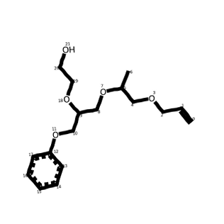 C=CCOCC(C)OCC(COc1ccccc1)OCCO